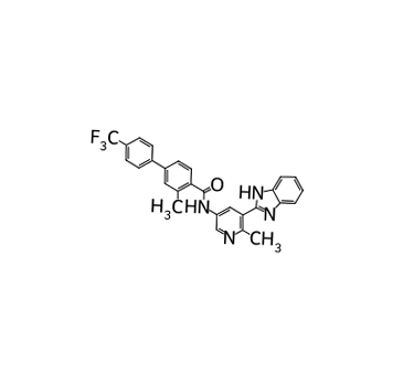 Cc1cc(-c2ccc(C(F)(F)F)cc2)ccc1C(=O)Nc1cnc(C)c(-c2nc3ccccc3[nH]2)c1